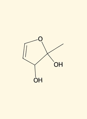 CC1(O)OC=CC1O